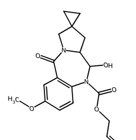 C=CCOC(=O)N1c2ccc(OC)cc2C(=O)N2CC3(CC3)CC2C1O